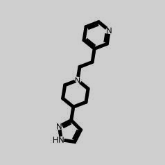 c1cncc(CCN2CCC(c3cc[nH]n3)CC2)c1